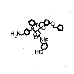 Cl.NCc1ccc(N2C(=O)C(CC(=O)NCc3ccccc3F)C(=O)N(Cc3ccc(OCc4ccccc4)cc3)c3ccccc32)cc1